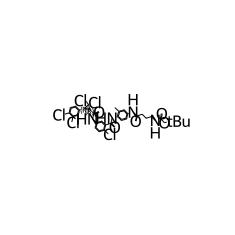 Cc1cc(NC(=O)CCCNC(=O)OC(C)(C)C)ccc1NC(=O)c1cc(NC(=O)[C@H]2[C@H](c3ccc(Cl)c(Cl)c3)C2(Cl)Cl)ccc1Cl